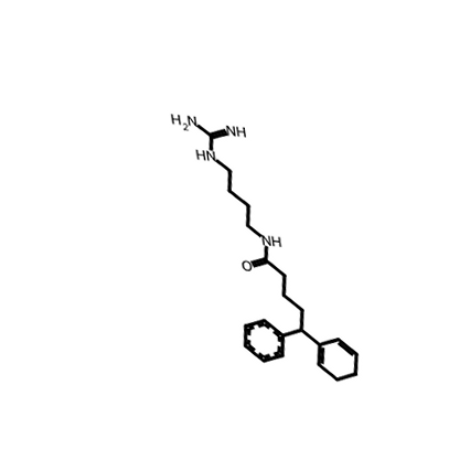 N=C(N)NCCCCNC(=O)CCCC(C1=CCCC=C1)c1ccccc1